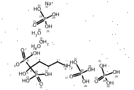 NCCCC(O)(P(=O)([O-])O)P(=O)(O)O.O.O.O.O=P(O)(O)O.O=P(O)(O)O.O=P(O)(O)O.[Na+]